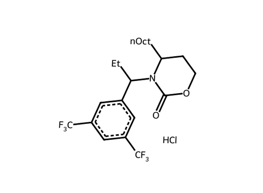 CCCCCCCCC1CCOC(=O)N1C(CC)c1cc(C(F)(F)F)cc(C(F)(F)F)c1.Cl